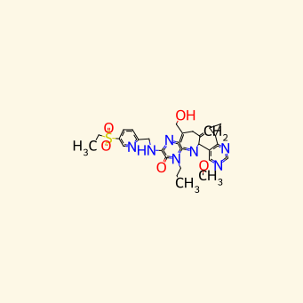 C=C1CC(CO)=c2nc(NCc3ccc(S(=O)(=O)CC)cn3)c(=O)n(CCC)c2=NC1c1c(OC)ncnc1C1CC1